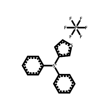 F[P-](F)(F)(F)(F)F.c1ccc([S+](c2ccccc2)c2ccsc2)cc1